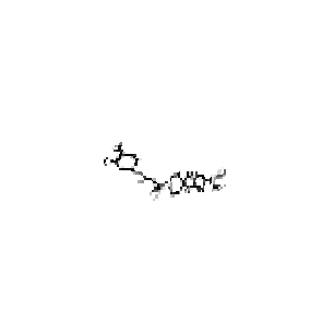 O=C(COc1ccc(Cl)c(Cl)c1)N1CCC2(CC1)Cn1cc([N+](=O)[O-])nc1O2